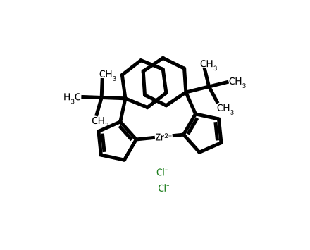 CC(C)(C)C1(C2=[C]([Zr+2][C]3=C(C4(C(C)(C)C)CCCCC4)C=CC3)CC=C2)CCCCC1.[Cl-].[Cl-]